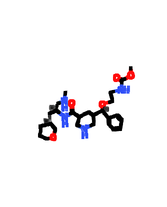 CNC[C@@H](C[C@H]1CCCOC1)NC(=O)C1CNCC([C@@H](OCCNC(=O)OC)c2ccccc2)C1